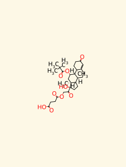 CC(C)(C)C(=O)OC1C[C@@]2(C)[C@@H](CC[C@]2(O)C(=O)COC(=O)CCC(=O)O)[C@@H]2CCC3=CC(=O)CC[C@]3(C)[C@@H]12